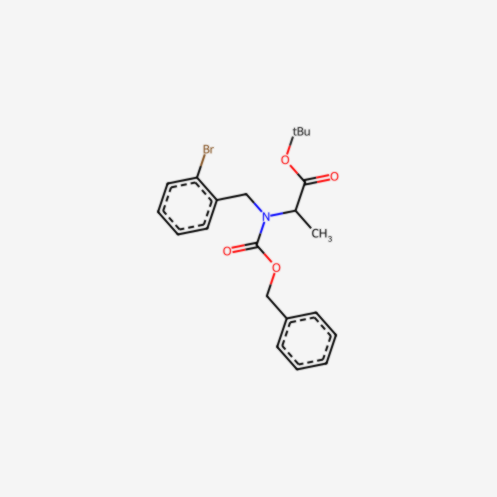 CC(C(=O)OC(C)(C)C)N(Cc1ccccc1Br)C(=O)OCc1ccccc1